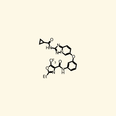 CCc1nc(C(=O)Nc2cccc(Oc3ccc4nc(NC(=O)C5CC5)nn4c3)c2)c(C(F)(F)F)o1